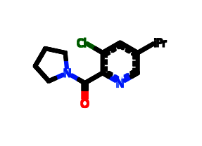 CC(C)c1cnc(C(=O)N2CCCC2)c(Cl)c1